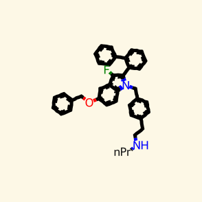 CCCNCCc1ccc(Cn2c(-c3ccccc3-c3ccccc3)c(F)c3cc(OCc4ccccc4)ccc32)cc1